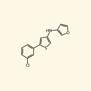 Clc1cccc(-c2cc(Nc3ccoc3)cs2)c1